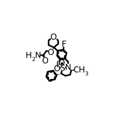 C[C@H]1CC[C@H](c2ccccc2)S(=O)(=O)N1Cc1cc(F)c(C2(OCC(N)=O)CCOCC2)cc1F